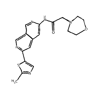 Cc1ncc(-c2cc3cc(NC(=O)CN4CCOCC4)ncc3cn2)s1